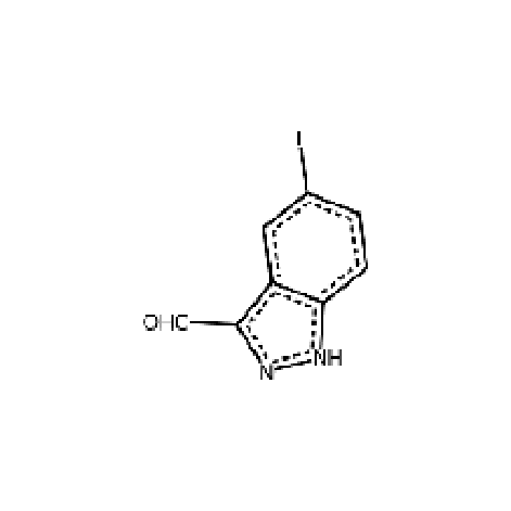 O=Cc1n[nH]c2ccc(I)cc12